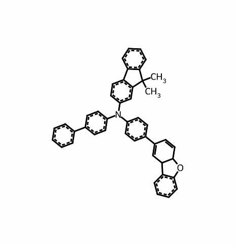 CC1(C)c2ccccc2-c2ccc(N(c3ccc(C4=CC5c6ccccc6OC5C=C4)cc3)c3ccc(-c4ccccc4)cc3)cc21